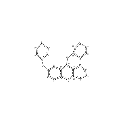 c1ccc(Cc2ccc3cc4ccccc4c(Cc4ccccc4)c3c2)cc1